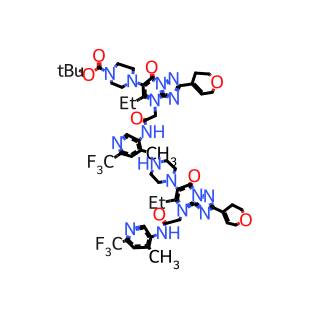 CCc1c(N2CCN(C(=O)OC(C)(C)C)CC2)c(=O)n2nc(C3=CCOCC3)nc2n1CC(=O)Nc1cnc(C(F)(F)F)cc1C.CCc1c(N2CCNCC2)c(=O)n2nc(C3=CCOCC3)nc2n1CC(=O)Nc1cnc(C(F)(F)F)cc1C